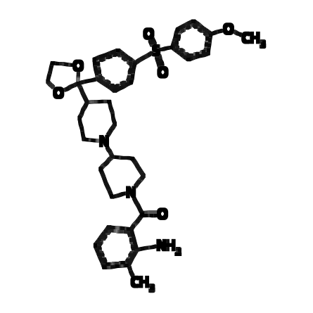 COc1ccc(S(=O)(=O)c2ccc(C3(C4CCN(C5CCN(C(=O)c6cccc(C)c6N)CC5)CC4)OCCO3)cc2)cc1